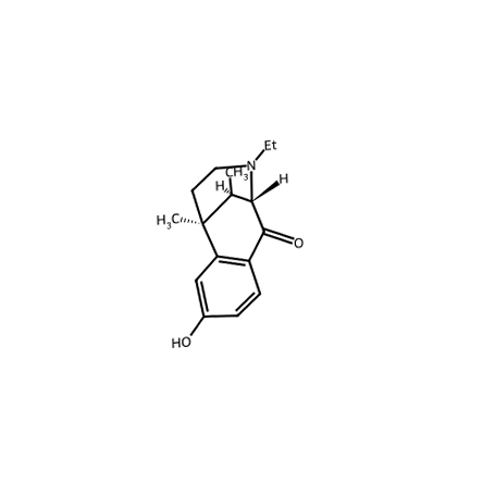 CCN1CC[C@]2(C)c3cc(O)ccc3C(=O)[C@@H]1[C@@H]2C